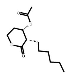 CCCCCC[C@@H]1C(=O)OCC[C@@H]1OC(C)=O